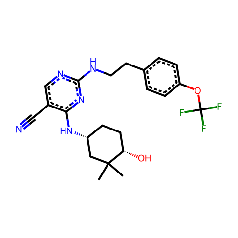 CC1(C)C[C@H](Nc2nc(NCCc3ccc(OC(F)(F)F)cc3)ncc2C#N)CC[C@@H]1O